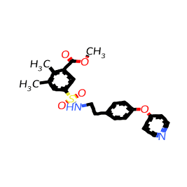 COC(=O)c1cc(S(=O)(=O)NCCc2ccc(Oc3ccncc3)cc2)cc(C)c1C